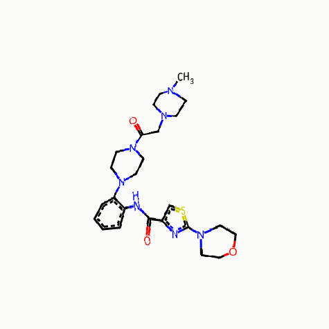 CN1CCN(CC(=O)N2CCN(c3ccccc3NC(=O)c3csc(N4CCOCC4)n3)CC2)CC1